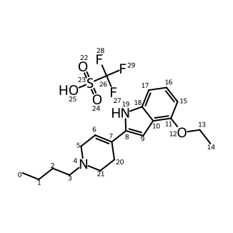 CCCCN1CC=C(c2cc3c(OCC)cccc3[nH]2)CC1.O=S(=O)(O)C(F)(F)F